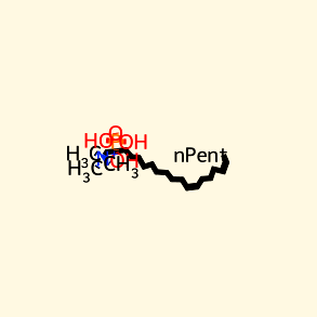 CCCCC/C=C\CCC/C=C\CCCCCCCCCC(O)(C[N+](C)(C)C)P(=O)(O)O